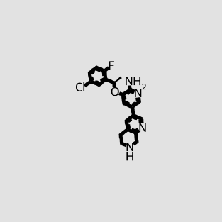 C[C@@H](Oc1cc(-c2cnc3c(c2)CCNC3)cnc1N)c1cc(Cl)ccc1F